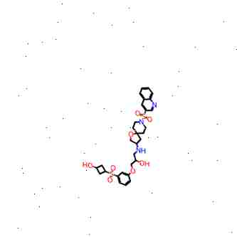 O=S(=O)(c1cccc(OCC(O)CNC2COC3(CCN(S(=O)(=O)c4cnc5ccccc5c4)CC3)C2)c1)C1CC(O)C1